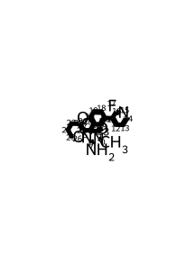 CN1C(=O)[C@]2(N=C1N)c1cc(-c3cccnc3F)ccc1OC1CCCO[C@@]12C